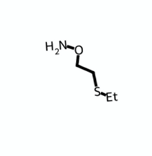 CCSCCON